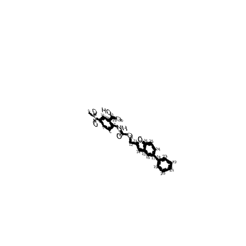 CS(=O)(=O)c1ccc(NC(=O)OCc2cc3cc(-c4ccccc4)ccc3o2)c(C(=O)O)c1